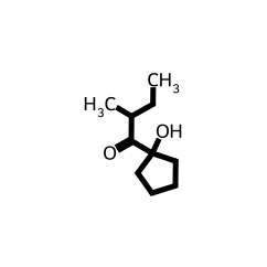 CCC(C)C(=O)C1(O)CCCC1